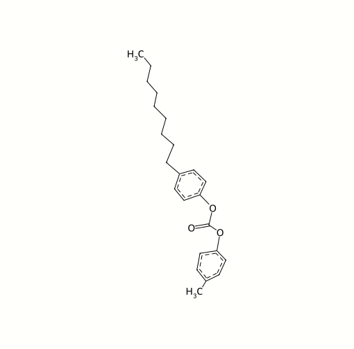 CCCCCCCCCc1ccc(OC(=O)Oc2ccc(C)cc2)cc1